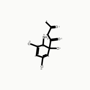 CC(=O)CC(=O)C1(Cl)C=C(Cl)C=C(Cl)C1N